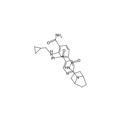 CC(C)C(=O)c1ccc(N2C3CCC2CC(NC(=O)c2ccc(C(N)=O)c(NCC4CC4)c2)C3)nc1